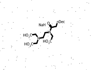 CCCCCCCCCCCC(=O)N(CCN(CC(=O)O)CC(=O)O)CC(=O)O.[NaH]